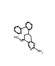 Nc1ncc2c(n1)CC(c1ccccc1-c1ccccc1)C/C2=N\O